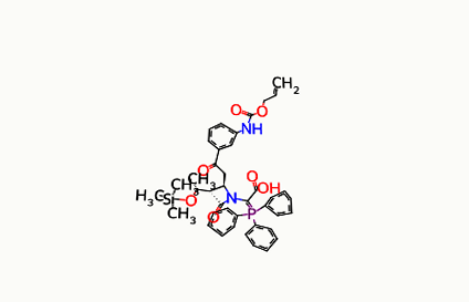 C=CCOC(=O)Nc1cccc(C(=O)C[C@@H]2[C@@H]([C@@H](C)O[Si](C)(C)C)C(=O)N2C(C(=O)O)=P(c2ccccc2)(c2ccccc2)c2ccccc2)c1